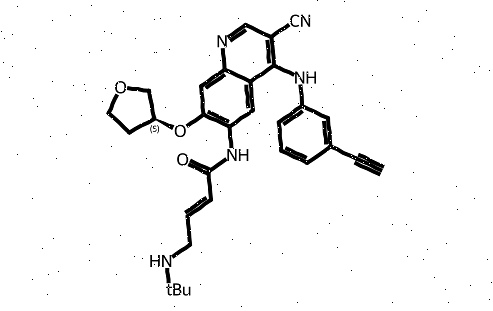 C#Cc1cccc(Nc2c(C#N)cnc3cc(O[C@H]4CCOC4)c(NC(=O)C=CCNC(C)(C)C)cc23)c1